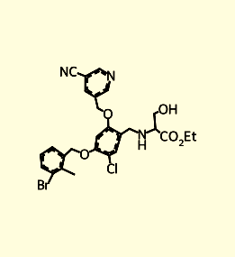 CCOC(=O)C(CO)NCc1cc(Cl)c(OCc2cccc(Br)c2C)cc1OCc1cncc(C#N)c1